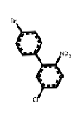 O=[N+]([O-])c1ccc(Cl)cc1-c1ccc(Br)cc1